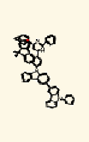 CC1(C)c2ccccc2-c2ccc(C34C=CC(c5cc(-c6ccc(-n7c8ccccc8c8cc(-c9ccc%10c(c9)c9ccccc9n%10-c9ccccc9)ccc87)cc6)nc(-c6ccccc6)n5)=CC3C4)cc21